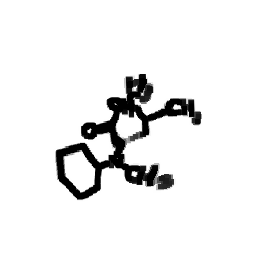 CC(C)C[C@@H](C(=O)O)N(C)C1CCCCC1